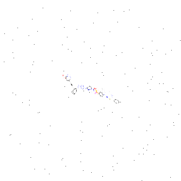 CCOc1cncc(C#Cc2ccccc2CN2CCN(c3ccc(C(=O)NS(=O)(=O)c4ccc(NCCSc5ccccc5)c([N+](=O)[O-])c4)cc3)CC2)c1